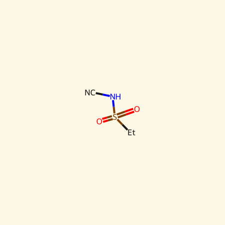 CCS(=O)(=O)NC#N